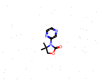 CC1(C)COC(=O)N1c1cnccn1